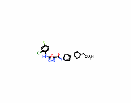 O=C(O)C[C@H]1CC[C@H](c2ccc(NC(=O)c3nnc(Nc4ccc(F)cc4Cl)o3)cc2)CC1